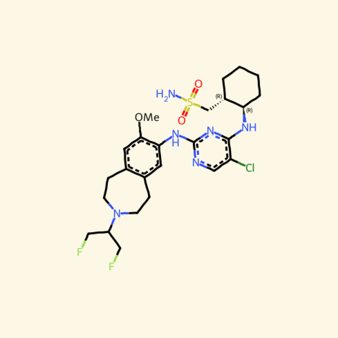 COc1cc2c(cc1Nc1ncc(Cl)c(N[C@@H]3CCCC[C@H]3CS(N)(=O)=O)n1)CCN(C(CF)CF)CC2